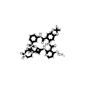 COc1ccnc(NC23CC(N4CCS(=O)(=O)CC4)(C2)C3)c1C(=O)Nc1cc2c(cc1C(=O)Nc1cccc(S(=O)(=O)C(F)(F)F)c1)OC(F)(F)O2